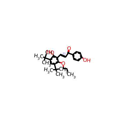 CCCOc1c(C(C)(C)C)cc(C(C)(C)C)c(O)c1/C=C/C(=O)c1ccc(O)cc1